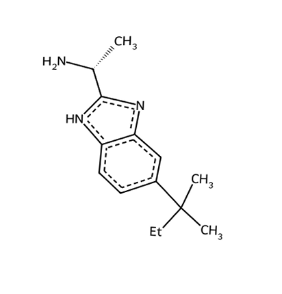 CCC(C)(C)c1ccc2[nH]c([C@@H](C)N)nc2c1